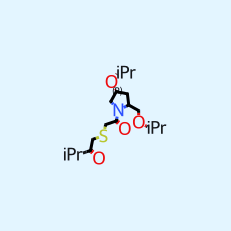 CC(C)OCC1C[C@@H](OC(C)C)CN1C(=O)CSCC(=O)C(C)C